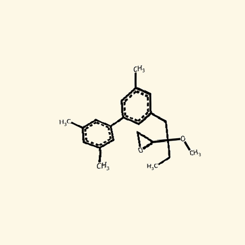 CCC(Cc1cc(C)cc(-c2cc(C)cc(C)c2)c1)(OC)C1CO1